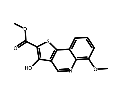 COC(=O)c1sc2c(cnc3c(OC)cccc32)c1O